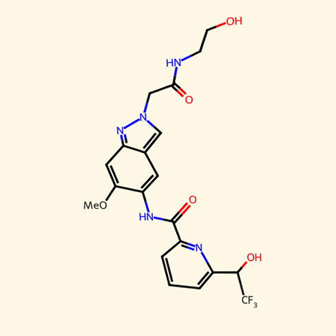 COc1cc2nn(CC(=O)NCCO)cc2cc1NC(=O)c1cccc(C(O)C(F)(F)F)n1